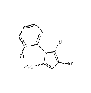 Cc1cc(Br)c(Cl)n1-c1ncccc1Cl